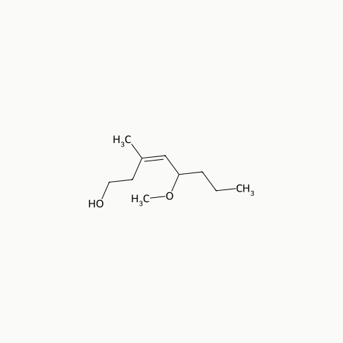 CCCC(C=C(C)CCO)OC